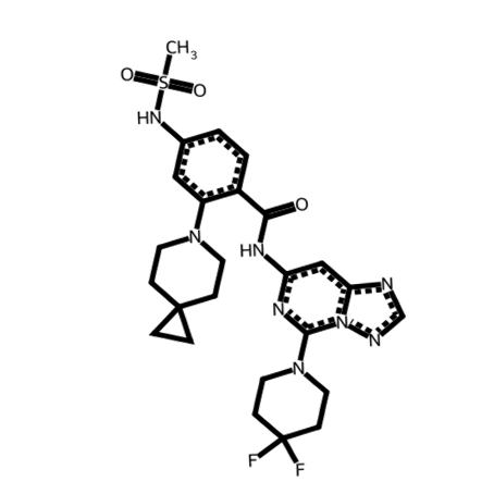 CS(=O)(=O)Nc1ccc(C(=O)Nc2cc3ncnn3c(N3CCC(F)(F)CC3)n2)c(N2CCC3(CC2)CC3)c1